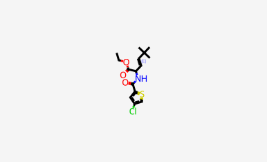 CCOC(=O)C(/C=C/C(C)(C)C)NC(=O)c1cc(Cl)cs1